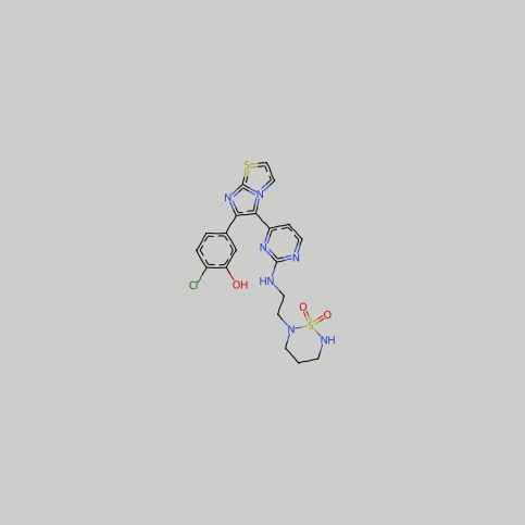 O=S1(=O)NCCCN1CCNc1nccc(-c2c(-c3ccc(Cl)c(O)c3)nc3sccn23)n1